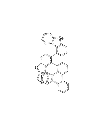 c1ccc2c(c1)oc1ccc(-c3cccc4[se]c5ccccc5c34)c(-c3cccc4c5ccccc5c5ccccc5c34)c12